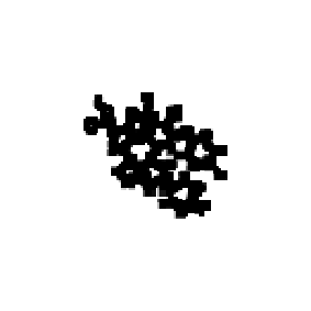 COC(=O)c1sc(-n2cnc3cc(-c4ccc(F)nc4)ccc32)cc1OC(C)c1cccc(OC2CCN(C)CC2)c1Cl